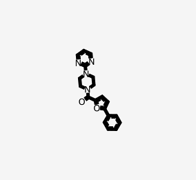 O=C(c1ccc(-c2ccccc2)o1)N1CCN(c2ncccn2)CC1